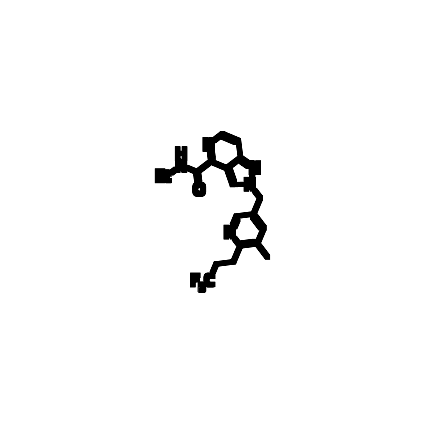 CCNC(=O)c1nccc2nn(Cc3cnc(CCC(F)(F)F)c(C)c3)cc12